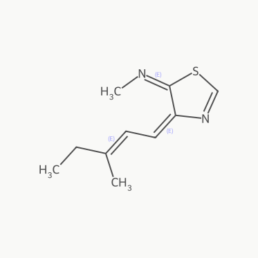 CC/C(C)=C/C=C1/N=CS/C1=N/C